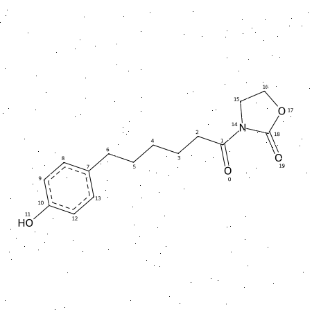 O=C(CCCCCc1ccc(O)cc1)N1CCOC1=O